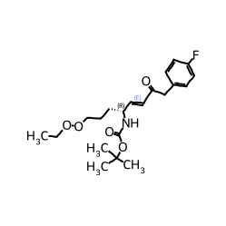 CCOOCCC[C@H](/C=C/C(=O)Cc1ccc(F)cc1)NC(=O)OC(C)(C)C